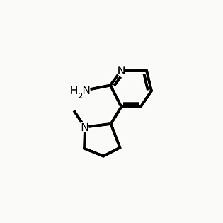 CN1CCCC1c1cccnc1N